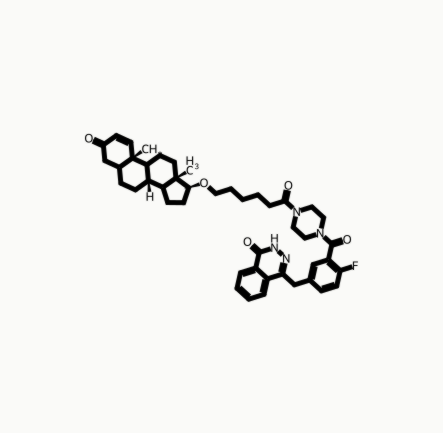 C[C@]12C=CC(=O)CC1CC[C@@H]1C2CC[C@@]2(C)C1CC[C@@H]2OCCCCCC(=O)N1CCN(C(=O)c2cc(Cc3n[nH]c(=O)c4ccccc34)ccc2F)CC1